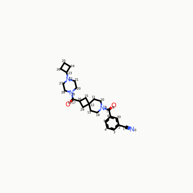 N#Cc1cccc(C(=O)N2CCC3(CC2)CC(C(=O)N2CCN(C4CCC4)CC2)C3)c1